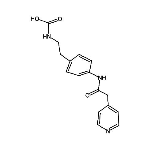 O=C(O)NCCc1ccc(NC(=O)Cc2ccncc2)cc1